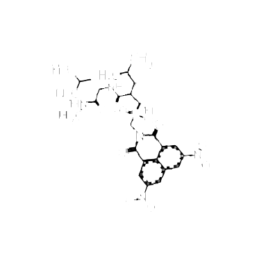 CNC(=O)[C@H](CC(C)C)NC(=O)C(CC(C)C)CP(=O)(O)CN1C(=O)c2cc([N+](=O)[O-])cc3cc([N+](=O)[O-])cc(c23)C1=O